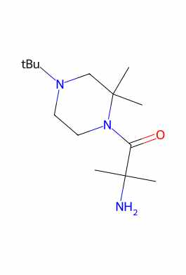 CC(C)(N)C(=O)N1CCN(C(C)(C)C)CC1(C)C